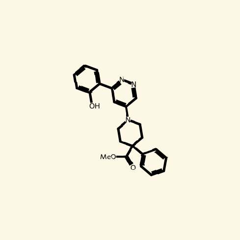 COC(=O)C1(c2ccccc2)CCN(c2cnnc(-c3ccccc3O)c2)CC1